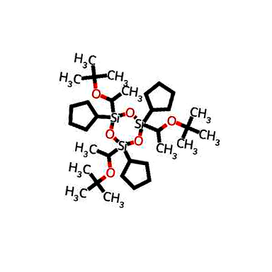 CC(OC(C)(C)C)[Si]1(C2CCCC2)O[Si](C2CCCC2)(C(C)OC(C)(C)C)O[Si](C2CCCC2)(C(C)OC(C)(C)C)O1